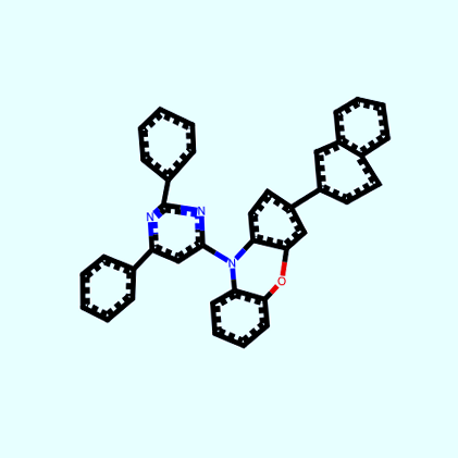 c1ccc(-c2cc(N3c4ccccc4Oc4cc(-c5ccc6ccccc6c5)ccc43)nc(-c3ccccc3)n2)cc1